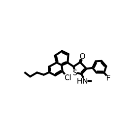 CCCCc1cc(Cl)c2c(C3SC(NC)=C(c4cccc(F)c4)C3=O)cccc2c1